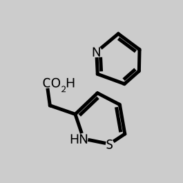 O=C(O)CC1=CC=CSN1.c1ccncc1